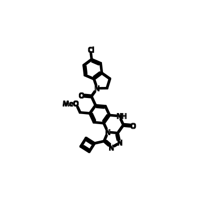 COCc1cc2c(cc1C(=O)N1CCc3cc(Cl)ccc31)[nH]c(=O)c1nnc(C3=CC=C3)n12